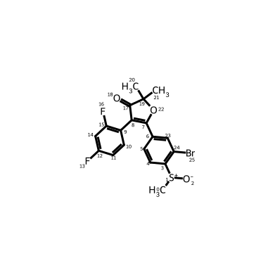 C[S+]([O-])c1ccc(C2=C(c3ccc(F)cc3F)C(=O)C(C)(C)O2)cc1Br